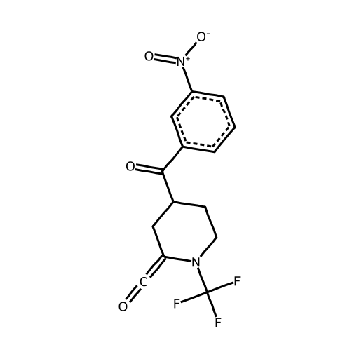 O=C=C1CC(C(=O)c2cccc([N+](=O)[O-])c2)CCN1C(F)(F)F